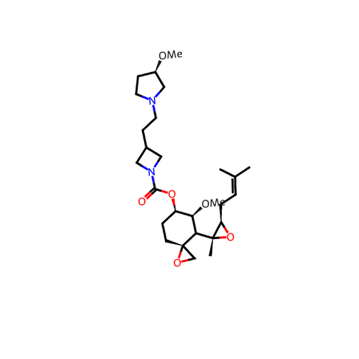 CO[C@@H]1CCN(CCC2CN(C(=O)O[C@@H]3CC[C@]4(CO4)C([C@@]4(C)O[C@@H]4CC=C(C)C)[C@@H]3OC)C2)C1